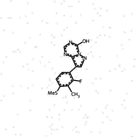 CSc1ccc(-c2cnn3c(O)ncnc23)c(F)c1C